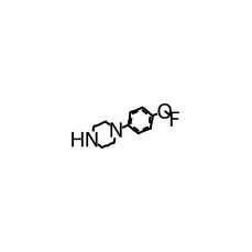 FOc1ccc(N2CCNCC2)cc1